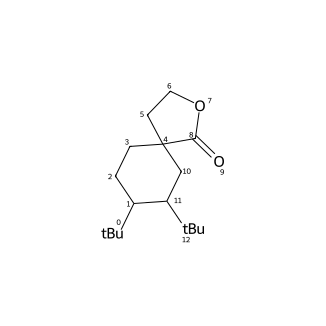 CC(C)(C)C1CCC2(CCOC2=O)CC1C(C)(C)C